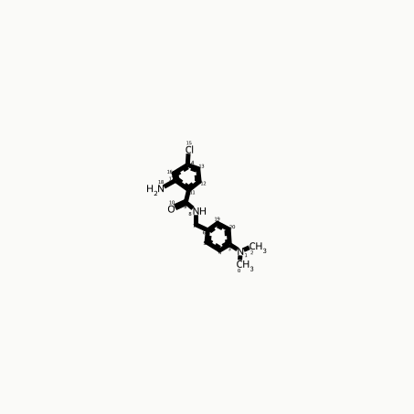 CN(C)c1ccc(CNC(=O)c2ccc(Cl)cc2N)cc1